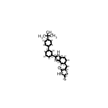 CC(C)(C)c1ccc(-c2cccc(-c3nc4cc(C=C5SC(=S)NC5=O)ccc4[nH]3)c2)cc1